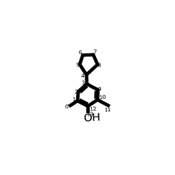 Cc1cc(C2CCCC2)cc(C)c1O